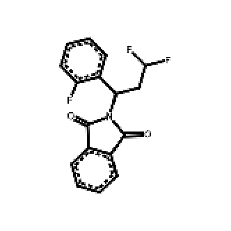 O=C1c2ccccc2C(=O)N1C(CC(F)F)c1ccccc1F